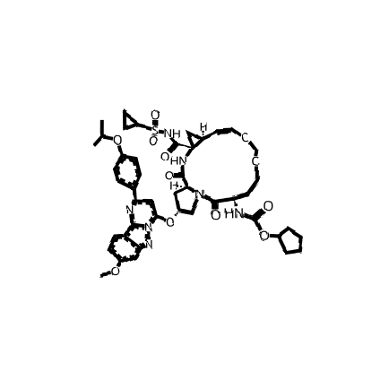 COc1ccc2c(c1)nn1c(O[C@@H]3C[C@H]4C(=O)N[C@]5(C(=O)NS(=O)(=O)C6CC6)C[C@H]5/C=C\CCCCC[C@H](NC(=O)OC5CCCC5)C(=O)N4C3)cc(-c3ccc(OC(C)C)cc3)nc21